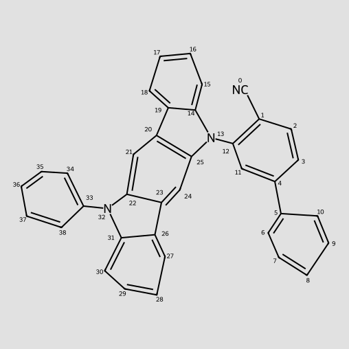 N#Cc1ccc(-c2ccccc2)cc1-n1c2ccccc2c2cc3c(cc21)c1ccccc1n3-c1ccccc1